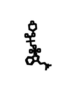 CN(C)CCc1cn(S(=O)(=O)OCC(C)(C)C(=O)OC2CCOCC2)c2ccccc12